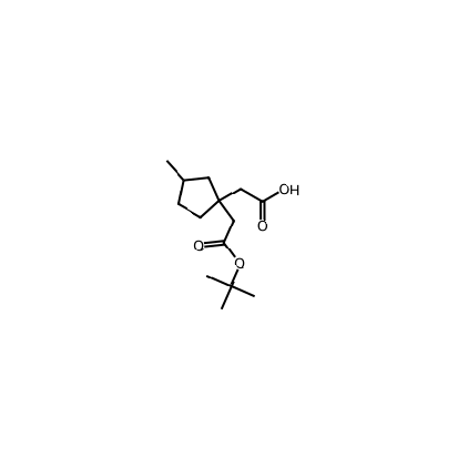 CC1CCC(CC(=O)O)(CC(=O)OC(C)(C)C)C1